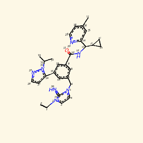 CCn1ccn(Cc2cc(C(=O)NC(c3cc(C)ccn3)C3CC3)cc(-c3ccnn3C(C)C)c2)c1=N